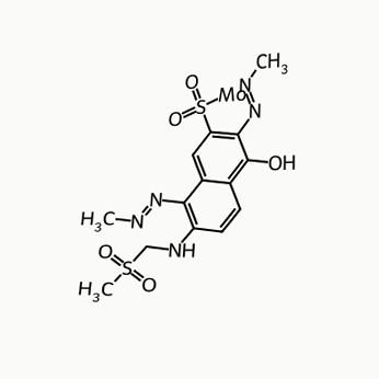 C/N=N/c1c([S](=O)(=O)[Mo])cc2c(/N=N/C)c(NCS(C)(=O)=O)ccc2c1O